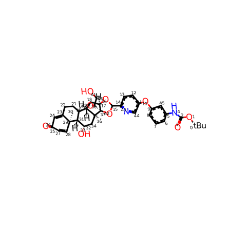 CC(C)(C)OC(=O)Nc1cccc(Oc2ccc(C3O[C@@H]4C[C@H]5[C@@H]6CCC7=CC(=O)C=C[C@]7(C)[C@H]6[C@@H](O)C[C@]5(C)[C@]4(C(=O)CO)O3)nc2)c1